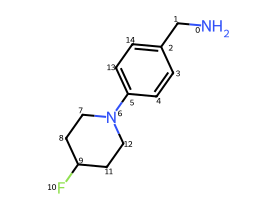 NCc1ccc(N2CCC(F)CC2)cc1